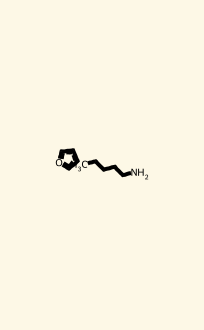 CCCCCN.c1ccoc1